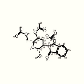 CS[C@@H]1O[C@H](COC(C)=O)[C@@H](OC(C)=O)[C@H](OC(C)=O)[C@H]1N1C(=O)c2ccccc2C1=O